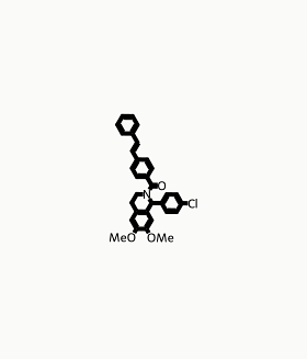 COc1cc2c(cc1OC)C(c1ccc(Cl)cc1)N(C(=O)c1ccc(C=Cc3ccccc3)cc1)CC2